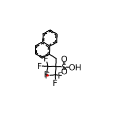 O=S(=O)(O)C(Cc1cccc2ccccc12)(C(F)(F)F)C(F)(F)F